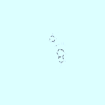 CSc1nc2ncc(C(C)(C)c3noc(C)n3)cc2s1